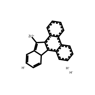 [H-].[H-].[H-].[Zr+3][C]1=C2C=CC=CC2c2c1c1ccccc1c1ccccc21